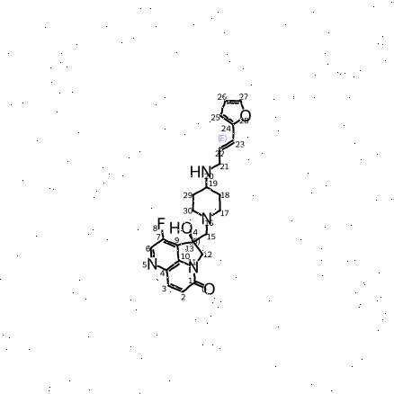 O=c1ccc2ncc(F)c3c2n1C[C@@]3(O)CN1CCC(NC/C=C/c2ccco2)CC1